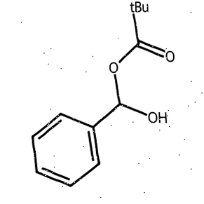 CC(C)(C)C(=O)OC(O)c1ccccc1